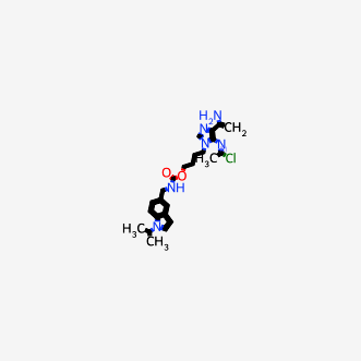 C=C(N)c1ncn(CCCCOC(=O)NCc2ccc3c(ccn3C(C)C)c2)c1/N=C(\C)Cl